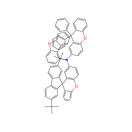 CC(C)(C)c1ccc2c(c1)C1(c3ccccc3Oc3ccc(N(c4ccc5c(c4)C(c4ccccc4)(c4ccccc4)c4ccccc4O5)c4cccc5oc6ccccc6c45)cc31)c1cc(C(C)(C)C)ccc1-2